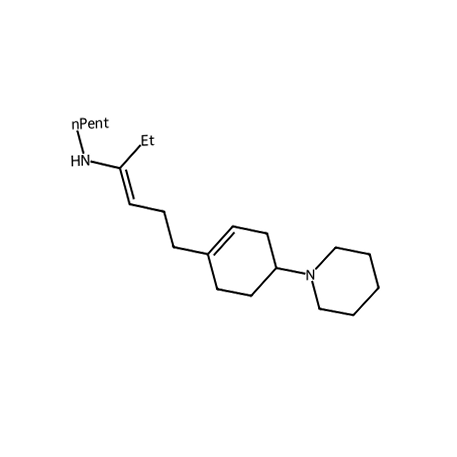 CCCCCN/C(=C/CCC1=CCC(N2CCCCC2)CC1)CC